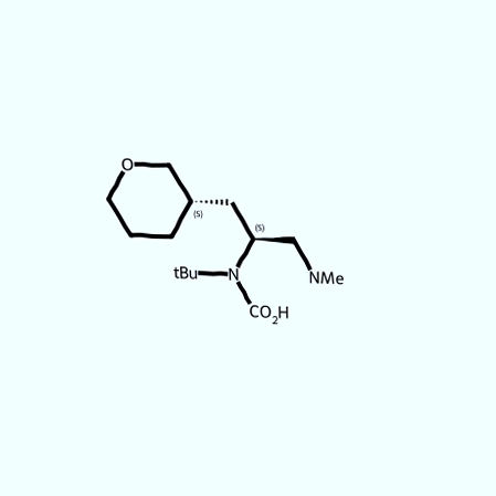 CNC[C@H](C[C@@H]1CCCOC1)N(C(=O)O)C(C)(C)C